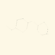 CCN1CCC(OC2CCNCC2)CC1